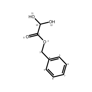 O=C(OCc1ccccc1)C(O)O